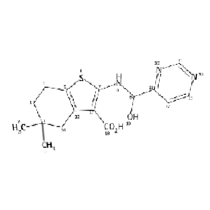 CC1(C)CCc2sc(NC(O)c3ccncn3)c(C(=O)O)c2C1